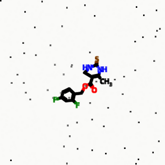 CC1=C(C(=O)OCc2ccc(F)cc2F)CNC(=S)N1